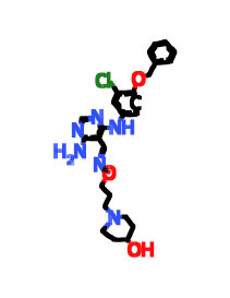 Nc1ncnc(Nc2ccc(OCc3ccccc3)c(Cl)c2)c1C=NOCCCN1CCC(O)CC1